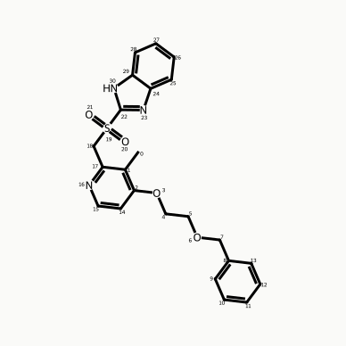 Cc1c(OCCOCc2ccccc2)ccnc1CS(=O)(=O)c1nc2ccccc2[nH]1